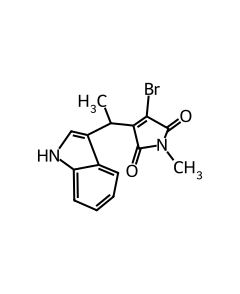 CC(C1=C(Br)C(=O)N(C)C1=O)c1c[nH]c2ccccc12